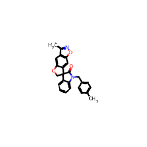 Cc1ccc(CN2C(=O)C3(COc4cc5c(C)noc5cc43)c3ccccc32)cc1